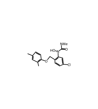 CNC(=O)N(O)c1cc(Cl)ccc1COc1ccc(C)cc1C